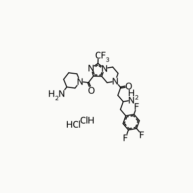 Cl.Cl.NC(CC(=O)N1CCn2c(C(F)(F)F)nc(C(=O)N3CCCC(N)C3)c2C1)Cc1cc(F)c(F)cc1F